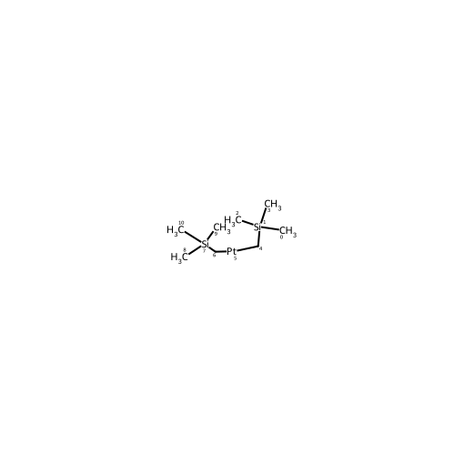 C[Si](C)(C)[CH2][Pt][CH2][Si](C)(C)C